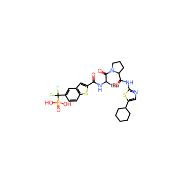 CC(C)(C)C(NC(=O)c1cc2cc(C(F)(F)P(=O)(O)O)ccc2s1)C(=O)N1CCCC1C(=O)Nc1ncc(C2CCCCC2)s1